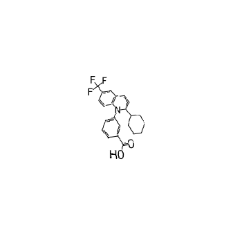 O=C(O)c1cccc(N2C(C3CCCCC3)=C=Cc3cc(C(F)(F)F)ccc32)c1